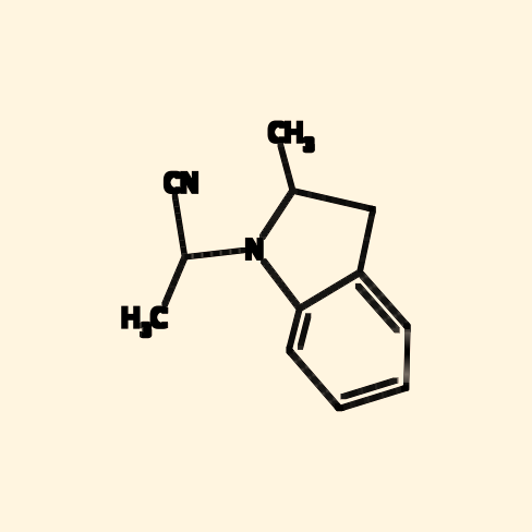 CC(C#N)N1c2ccccc2CC1C